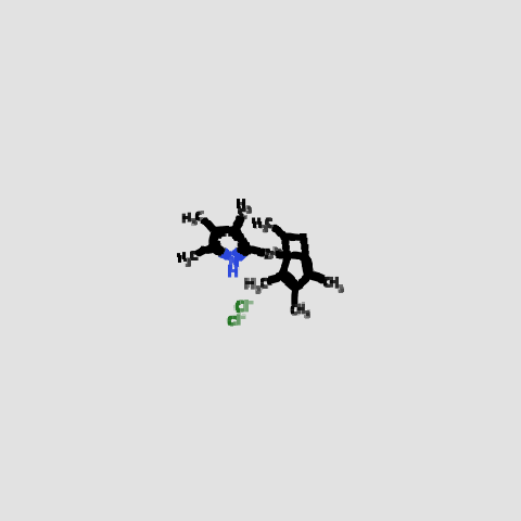 CC1=C(C)[C]2([Zr+2][c]3[nH]c(C)c(C)c3C)C(=C1C)CC2C.[Cl-].[Cl-]